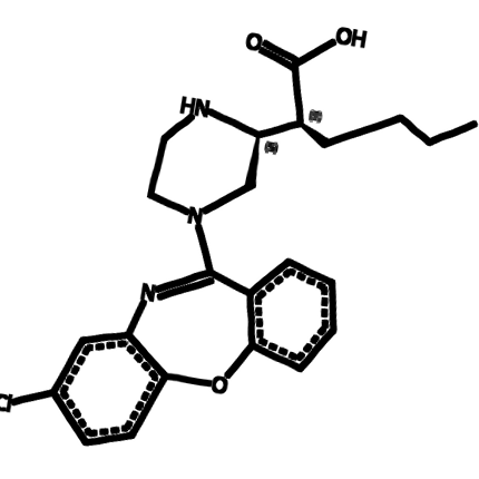 CCCC[C@H](C(=O)O)[C@H]1CN(C2=Nc3cc(Cl)ccc3Oc3ccccc32)CCN1